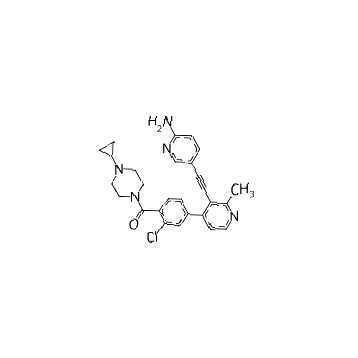 Cc1nccc(-c2ccc(C(=O)N3CCN(C4CC4)CC3)c(Cl)c2)c1C#Cc1ccc(N)nc1